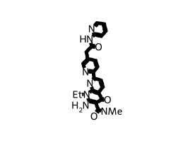 CCn1c(N)c(C(=O)NC)c(=O)c2ccc(-c3ccc(CC(=O)Nc4ccccn4)cn3)nc21